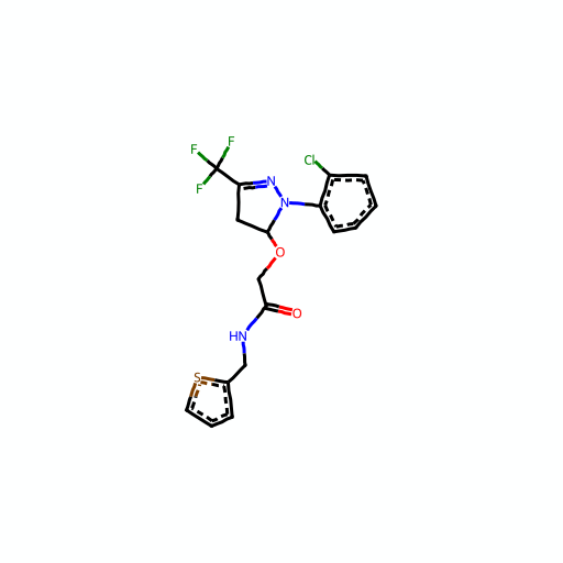 O=C(COC1CC(C(F)(F)F)=NN1c1ccccc1Cl)NCc1cccs1